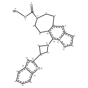 CC(C)(C)OC(=O)N1CCc2nc3ccnn3c(N3CC(c4nc5ccccc5o4)C3)c2CC1